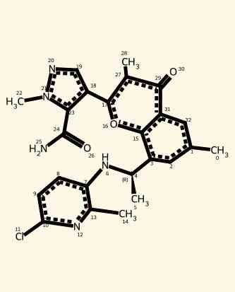 Cc1cc([C@@H](C)Nc2ccc(Cl)nc2C)c2oc(-c3cnn(C)c3C(N)=O)c(C)c(=O)c2c1